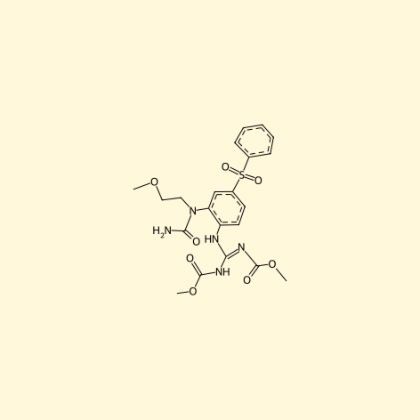 COCCN(C(N)=O)c1cc(S(=O)(=O)c2ccccc2)ccc1NC(=NC(=O)OC)NC(=O)OC